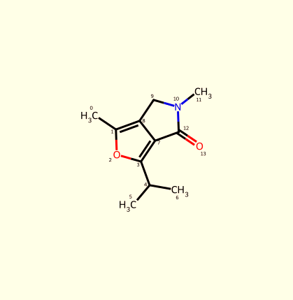 Cc1oc(C(C)C)c2c1CN(C)C2=O